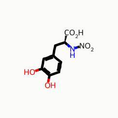 O=C(O)[C@H](Cc1ccc(O)c(O)c1)N[N+](=O)[O-]